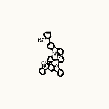 N#Cc1ccc(-n2c3ccccc3c3cc(-c4ccccc4C#N)ccc32)c(-c2ncccc2-n2c3ccccc3c3cc(-c4ccccc4C#N)ccc32)c1